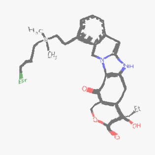 CC[C@@]1(O)C(=O)OCC2=C1CC1=C(C2=O)N2Cc3c(cccc3CC[Si](C)(C)CCCBr)C=C2N1